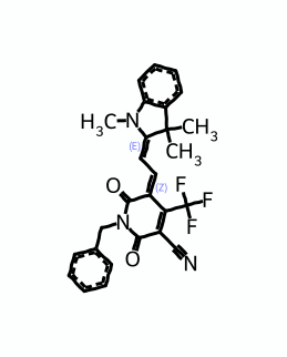 CN1/C(=C/C=C2\C(=O)N(Cc3ccccc3)C(=O)C(C#N)=C2C(F)(F)F)C(C)(C)c2ccccc21